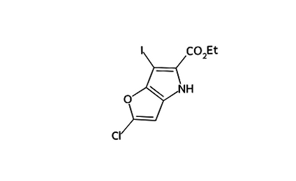 CCOC(=O)c1[nH]c2cc(Cl)oc2c1I